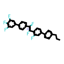 CCCc1ccc(-c2ccc(/C(F)=C(\F)c3ccc(-c4cc(F)c(F)c(F)c4)cc3)c(F)c2)cc1